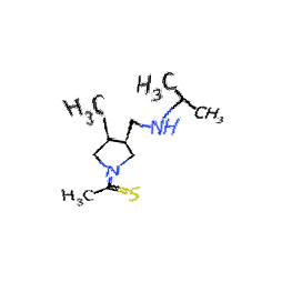 CC(=S)N1C[C@H](CNC(C)C)[C@H](C)C1